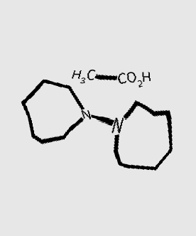 C1CCN(N2CCCCC2)CC1.CC(=O)O